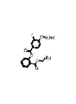 CCCCCCCCCCOc1ccc(C(=O)Oc2ccccc2C(=O)OCC(C)CC)cc1F